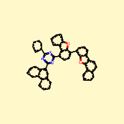 c1ccc(-c2nc(-c3cc4ccccc4c4ccccc34)nc(-c3ccc(-c4cccc5c4oc4c6ccccc6ccc54)c4oc5ccccc5c34)n2)cc1